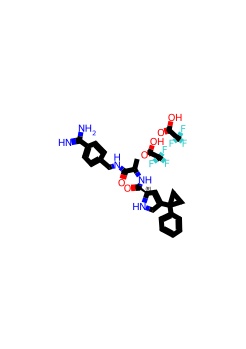 CC(NC(=O)[C@H]1C=C(C2(c3ccccc3)CC2)CN1)C(=O)NCc1ccc(C(=N)N)cc1.O=C(O)C(F)(F)F.O=C(O)C(F)(F)F